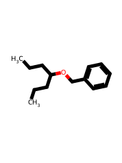 CCCC(CCC)OCc1ccccc1